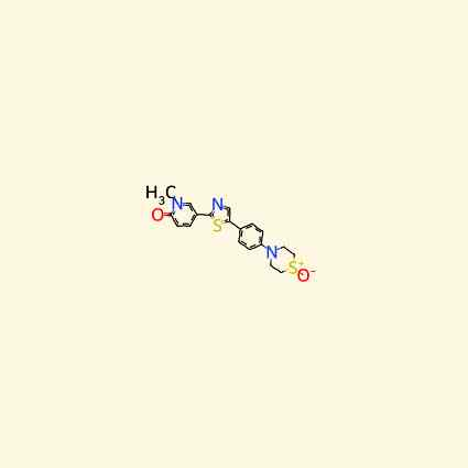 Cn1cc(-c2ncc(-c3ccc(N4CC[S+]([O-])CC4)cc3)s2)ccc1=O